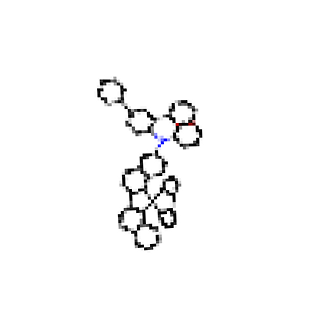 c1ccc(-c2ccc(N(c3ccccc3)c3ccc4c5c(ccc4c3)-c3ccc4ccccc4c3C53c4ccccc4-c4ccccc43)c(-c3ccccc3)c2)cc1